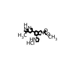 COCC(=O)N1Cc2cc(-c3cnc4[nH]cc(C)c4c3)cc([C@@H]3CCCN3)c2C1.Cl